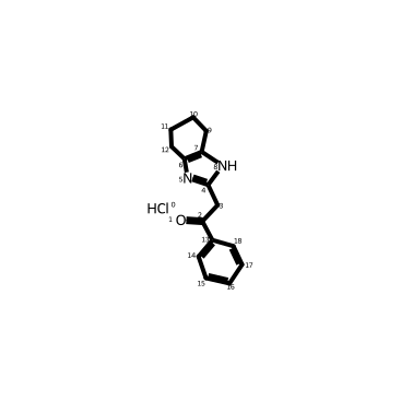 Cl.O=C(Cc1nc2c([nH]1)CCCC2)c1ccccc1